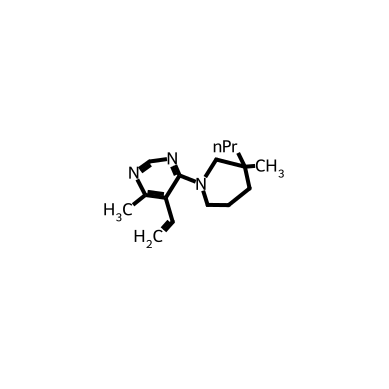 C=Cc1c(C)ncnc1N1CCCC(C)(CCC)C1